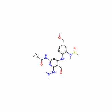 COCc1ccc(Nc2cc(NC(=O)C3CC3)nc(NN(C)C)c2C=O)c(N(C)[S+](C)[O-])c1